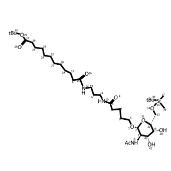 CC(=O)N[C@H]1[C@H](OCCCCC(=O)NCCCNC(=O)CCCCCCCCCCC(=O)OC(C)(C)C)O[C@H](CO[Si](C)(C)C(C)(C)C)[C@H](O)[C@@H]1O